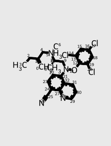 C=C(CC)CN(C)[C@H](C)CN(Oc1c(Cl)cc(Cl)cc1Cl)c1ccc(C#N)c2ncccc12